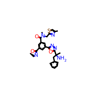 Cc1csc(CN(C)C(=O)c2cc(-c3ncco3)cc(-c3nnc(C(C)(N)Cc4ccccc4)o3)c2)n1